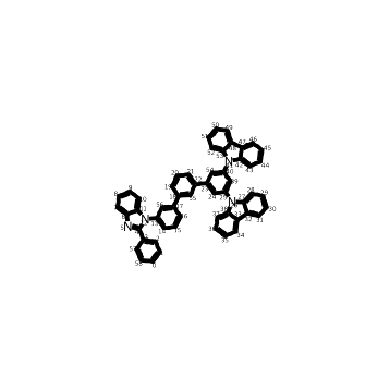 c1ccc(-c2nc3ccccc3n2-c2cccc(-c3cccc(-c4cc(-n5c6ccccc6c6ccccc65)cc(-n5c6ccccc6c6ccccc65)c4)c3)c2)cc1